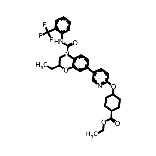 CCOC(=O)C1CCC(Oc2ccc(-c3ccc4c(c3)OC(CC)CN4C(=O)Nc3ccccc3C(F)(F)F)cn2)CC1